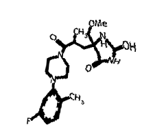 COCC1(CC(C)C(=O)N2CCN(c3cc(F)ccc3C)CC2)NC(O)NC1=O